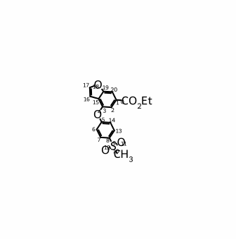 CCOC(=O)c1cc(Oc2ccc(S(C)(=O)=O)cc2)c2ccoc2c1